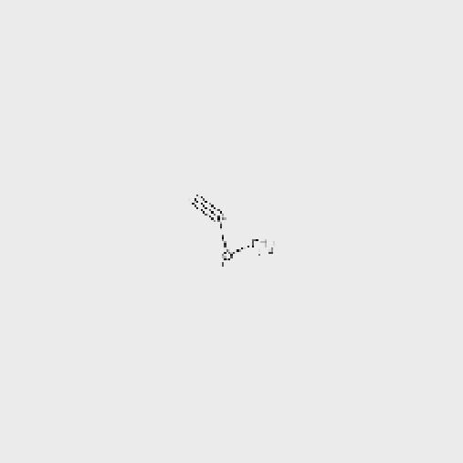 [C]#CO[CH2]